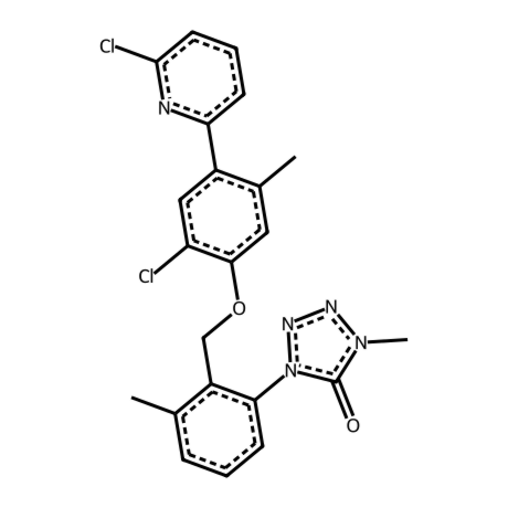 Cc1cc(OCc2c(C)cccc2-n2nnn(C)c2=O)c(Cl)cc1-c1cccc(Cl)n1